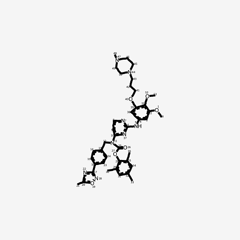 COc1cc(Nc2nccc(N(Cc3ccc(-c4noc(C)n4)cc3)C(=O)Oc3c(C)cc(C)cc3C)n2)cc(OCCCN2CCN(C)CC2)c1OC